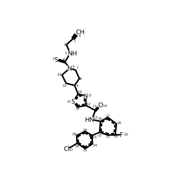 C#CCNC(=S)N1CCC(c2nc(C(=O)Nc3ccc(F)cc3-c3ccc(Cl)cc3)cs2)CC1